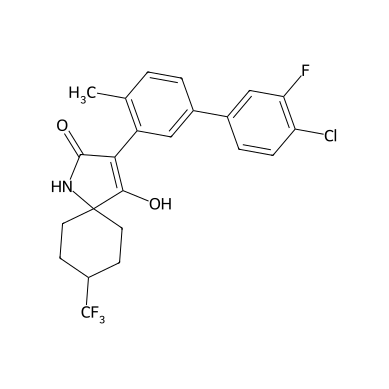 Cc1ccc(-c2ccc(Cl)c(F)c2)cc1C1=C(O)C2(CCC(C(F)(F)F)CC2)NC1=O